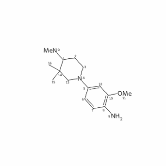 CNC1CCN(c2ccc(N)c(OC)c2)CC1(C)C